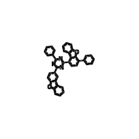 c1ccc(-c2nc(-c3ccc4oc5ccccc5c4c3)nc(-c3ccc(-c4ccccc4)c4oc5ccccc5c34)n2)cc1